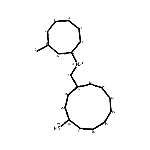 CC1CCCCCC(NCC2CCCCCCCC(S)CC2)C1